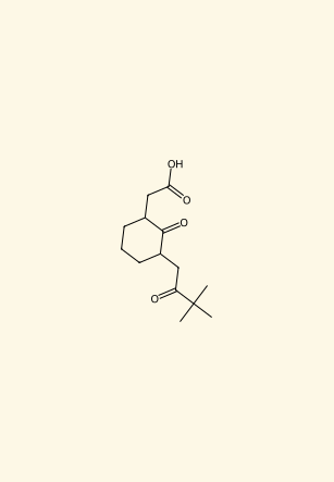 CC(C)(C)C(=O)CC1CCCC(CC(=O)O)C1=O